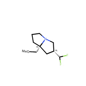 COC[C@]12CCCN1C[C@H](C(F)F)C2